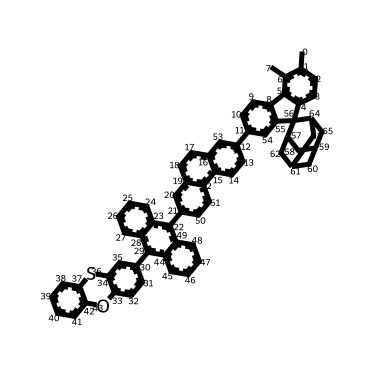 Cc1ccc2c(c1C)-c1ccc(-c3ccc4c(ccc5cc(-c6c7ccccc7c(-c7ccc8c(c7)Sc7ccccc7O8)c7ccccc67)ccc54)c3)cc1C21C2CC3CC(C2)CC1C3